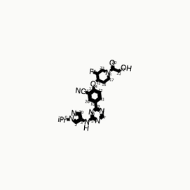 CC(C)n1cc(Nc2ncnc(-c3ccc(OC4CCN(C(=O)CO)CC4F)c(C#N)c3)n2)cn1